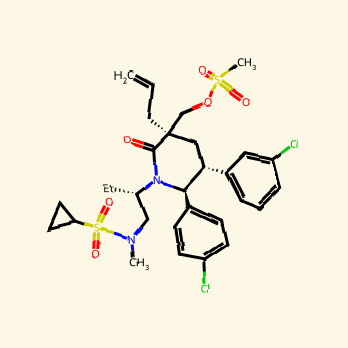 C=CC[C@]1(COS(C)(=O)=O)C[C@H](c2cccc(Cl)c2)[C@@H](c2ccc(Cl)cc2)N([C@@H](CC)CN(C)S(=O)(=O)C2CC2)C1=O